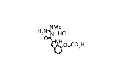 CNC(N)=NC(=O)c1cc2cccc(OCC(=O)O)c2[nH]1.Cl